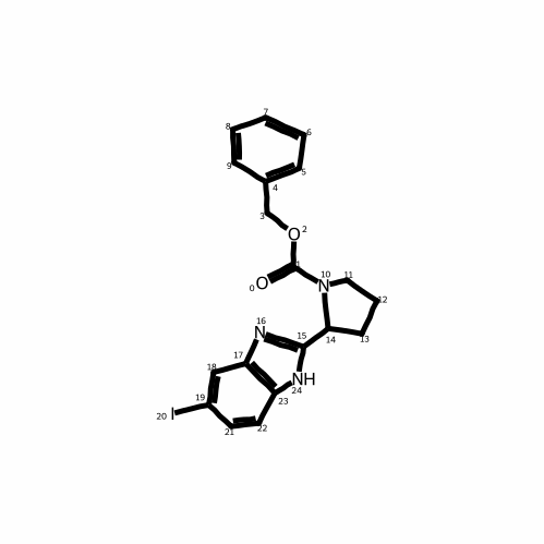 O=C(OCc1ccccc1)N1CCCC1c1nc2cc(I)ccc2[nH]1